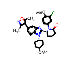 COc1ccc(N2C(=O)CCC[C@H]2c2nc3cc(-c4c(C)noc4C)ccc3n2[C@H]2CC[C@H](OC)CC2)cc1Cl